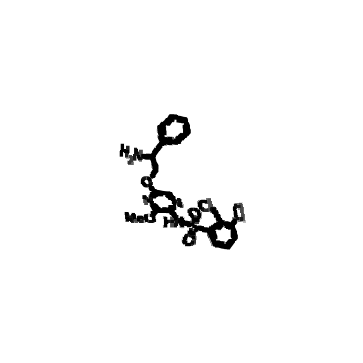 COc1nc(OCC(N)c2ccccc2)cnc1NS(=O)(=O)c1cccc(Cl)c1Cl